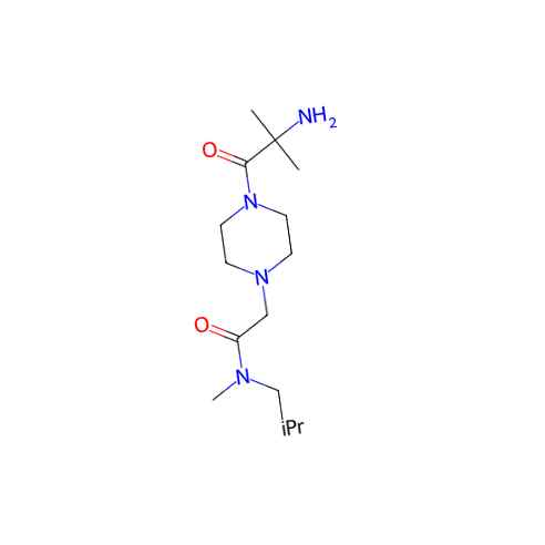 CC(C)CN(C)C(=O)CN1CCN(C(=O)C(C)(C)N)CC1